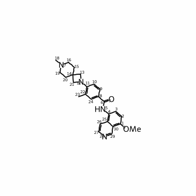 COc1ccc(NC(=O)c2ccc(N3CC4(CCN(C)CC4)C3)c(C)c2)c2ccncc12